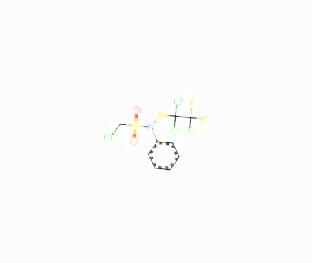 O=S(=O)(CCl)N(SC(Cl)(Cl)C(F)(F)Cl)c1ccccc1